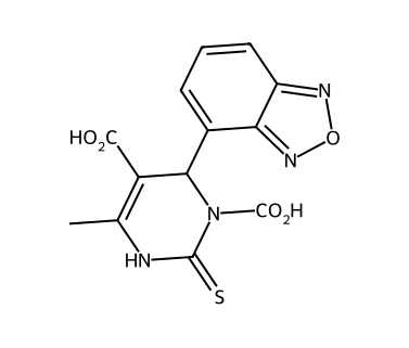 CC1=C(C(=O)O)C(c2cccc3nonc23)N(C(=O)O)C(=S)N1